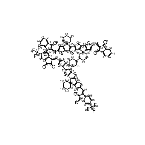 O=C1C(=O)c2cc(C(F)(F)F)ccc2/C1=C/c1cc2c(s1)-c1sc3c4c(sc3c1C21CCC(C2CCCC3(C2)c2cc(N=c5c(=O)c6ccccc6c5=O)sc2-c2sc5c6c(sc5c23)-c2sc(N=c3c(=O)c5ccccc5c3=O)cc2C62CCCCC2)CC1)-c1sc(/C=C2\C(=O)C(=O)C3C=C(C(F)(F)F)C=CC23)cc1C41CCCCC1